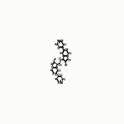 CC1=Cc2ccc(-c3ccncc3)cc2C1CCC1C(C)=Cc2ccc(-c3ccncc3)cc21